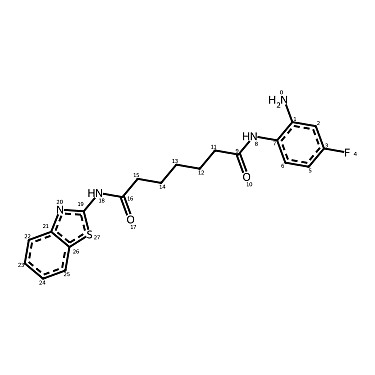 Nc1cc(F)ccc1NC(=O)CCCCCC(=O)Nc1nc2ccccc2s1